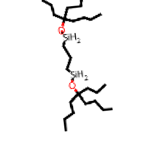 CCCCC(CCC)(CCCC)O[SiH2]CCC[SiH2]OC(CCC)(CCCC)CCCC